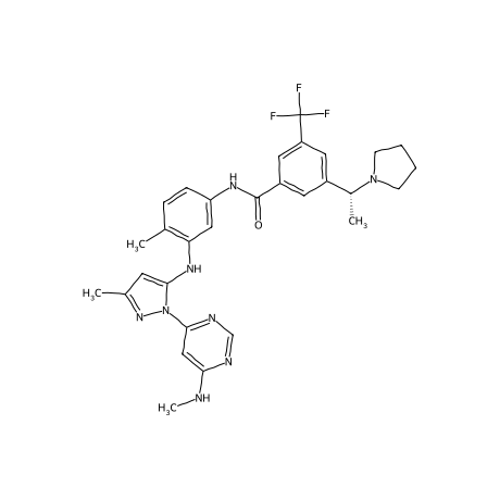 CNc1cc(-n2nc(C)cc2Nc2cc(NC(=O)c3cc([C@@H](C)N4CCCC4)cc(C(F)(F)F)c3)ccc2C)ncn1